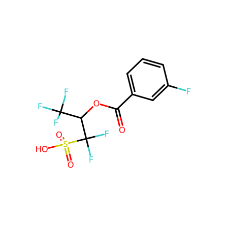 O=C(OC(C(F)(F)F)C(F)(F)S(=O)(=O)O)c1cccc(F)c1